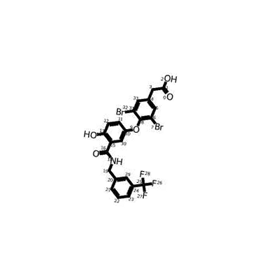 O=C(O)Cc1cc(Br)c(Oc2ccc(O)c(C(=O)NCc3cccc(C(F)(F)F)c3)c2)c(Br)c1